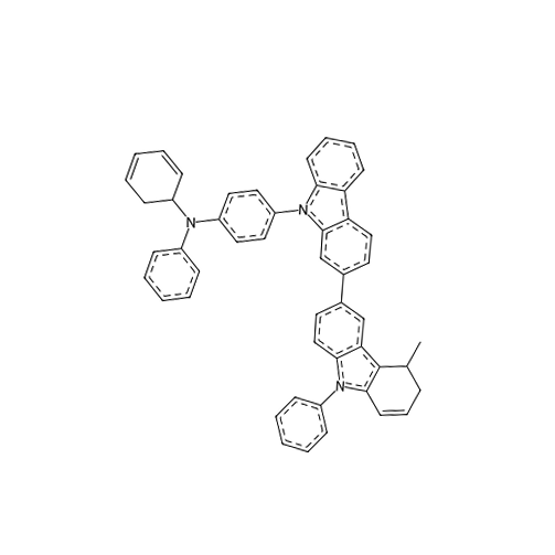 CC1CC=Cc2c1c1cc(-c3ccc4c5ccccc5n(-c5ccc(N(c6ccccc6)C6C=CC=CC6)cc5)c4c3)ccc1n2-c1ccccc1